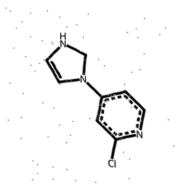 Clc1cc(N2C=CNC2)ccn1